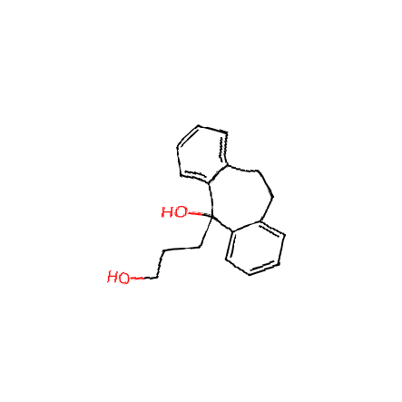 OCCCC1(O)c2ccccc2CCc2ccccc21